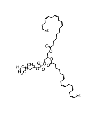 CC/C=C\C/C=C\C/C=C\C/C=C\CCCCCCC(=O)OC[C@H](COP(=O)([O-])OCC[N+](C)(C)C)OC(=O)CCCC/C=C\C/C=C\C/C=C\C/C=C\CC